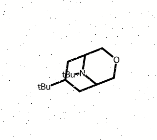 CC(C)(C)C1CC2COCC(C1)N2C(C)(C)C